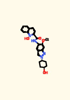 CCOc1cc2nn([C@H]3CC[C@H](O)CC3)cc2cc1NC(=O)c1ccc2ccccc2[n+]1O